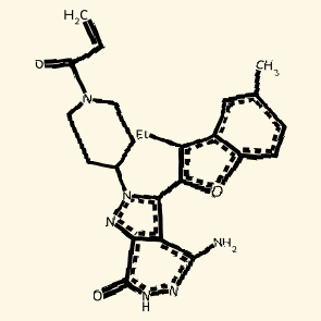 C=CC(=O)N1CCC(n2nc3c(=O)[nH]nc(N)c3c2-c2oc3ccc(C)cc3c2CC)CC1